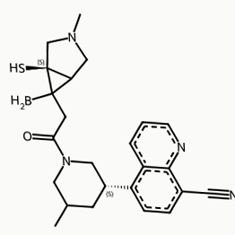 BC1(CC(=O)N2CC(C)C[C@@H](c3ccc(C#N)c4ncccc34)C2)C2CN(C)C[C@]21S